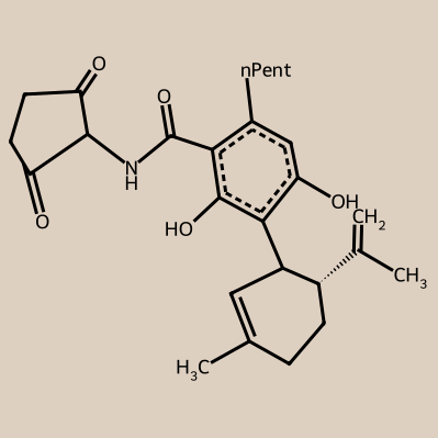 C=C(C)[C@@H]1CCC(C)=CC1c1c(O)cc(CCCCC)c(C(=O)NC2C(=O)CCC2=O)c1O